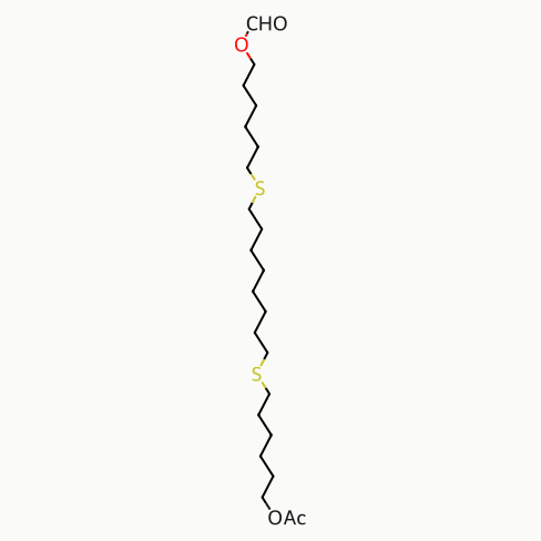 CC(=O)OCCCCCCSCCCCCCCCSCCCCCCOC=O